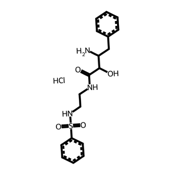 Cl.NC(Cc1ccccc1)C(O)C(=O)NCCNS(=O)(=O)c1ccccc1